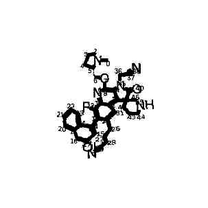 CN1CCC[C@H]1COc1nc2c(F)c(-c3cc(O)cc4ccccc34)c(CCCC#N)cc2c2c1N(CC#N)C(=O)C21CCCNC1